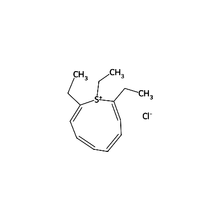 CCc1ccccccc(CC)[s+]1CC.[Cl-]